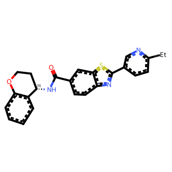 CCc1ccc(-c2nc3ccc(C(=O)N[C@H]4CCOc5ccccc54)cc3s2)cn1